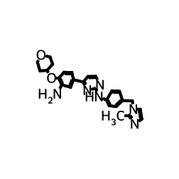 Cc1nccn1Cc1ccc(Nc2nccc(-c3ccc(OC4CCOCC4)c(N)c3)n2)cc1